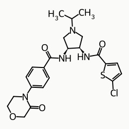 CC(C)N1C[C@H](NC(=O)c2ccc(N3CCOCC3=O)cc2)[C@H](NC(=O)c2ccc(Cl)s2)C1